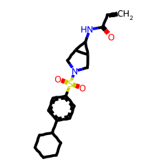 C=CC(=O)NC1C2CN(S(=O)(=O)c3ccc(C4CCCCC4)cc3)CC21